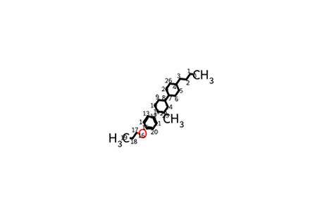 CCCCC1CCC(C2CC[C@@H](c3ccc(OCCC)cc3)[C@H](C)C2)CC1